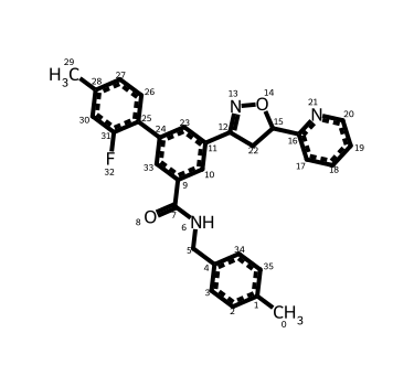 Cc1ccc(CNC(=O)c2cc(C3=NOC(c4ccccn4)C3)cc(-c3ccc(C)cc3F)c2)cc1